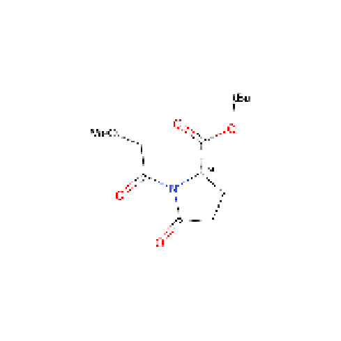 COCC(=O)N1C(=O)CC[C@H]1C(=O)OC(C)(C)C